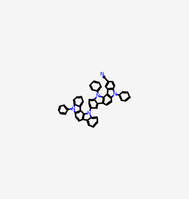 N#Cc1ccc2c(c1)c1c(ccc3c4cc(-n5c6ccccc6c6ccc7c(c8ccccc8n7-c7ccccc7)c65)ccc4n(-c4ccccc4)c31)n2-c1ccccc1